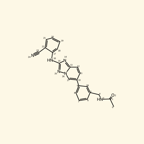 CC(=O)NCc1cccc(-c2ccc3nc(Nc4ccccc4C#N)nn3c2)c1